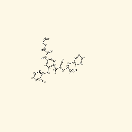 CC(=O)OCCNC(=O)Nc1ccc(N(C)C(=O)CN(Cc2ccccc2)C(=O)O)c(Cc2ccccc2F)c1